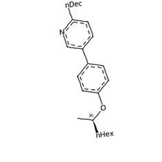 CCCCCCCCCCc1ccc(-c2ccc(O[C@H](C)CCCCCC)cc2)cn1